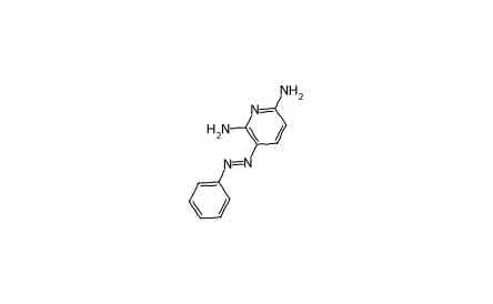 Nc1ccc(/N=N/c2ccccc2)c(N)n1